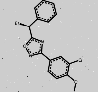 CC[C@@H](c1ccccc1)c1nc(-c2ccc(OC(C)C)c(Cl)c2)no1